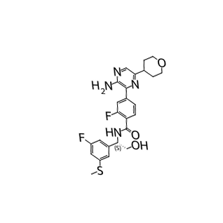 CSc1cc(F)cc([C@@H](CO)NC(=O)c2ccc(-c3nc(C4CCOCC4)cnc3N)cc2F)c1